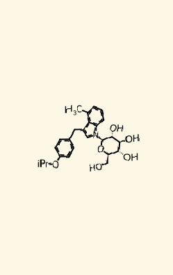 Cc1cccc2c1c(Cc1ccc(OC(C)C)cc1)cn2[C@@H]1O[C@H](CO)[C@@H](O)[C@H](O)[C@H]1O